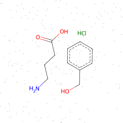 Cl.NCCCC(=O)O.OCc1ccccc1